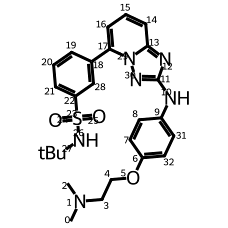 CN(C)CCOc1ccc(Nc2nc3cccc(-c4cccc(S(=O)(=O)NC(C)(C)C)c4)n3n2)cc1